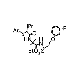 CCOC(=O)[C@H](CCOc1cccc(F)c1)NC(=O)C(C)(C)NC(=O)[C@@H](SC(C)=O)C(C)C